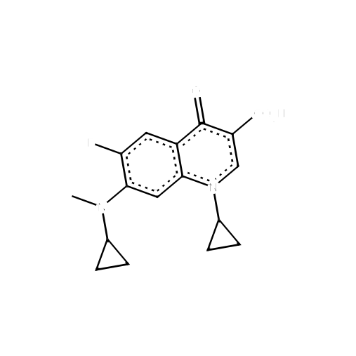 CN(c1cc2c(cc1F)c(=O)c(C(=O)O)cn2C1CC1)C1CC1